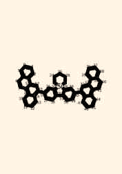 c1ccc2c(c1)ccc1c3ccccc3c(-c3ccc4c(c3)[Si]3(CCCCC3)c3cc(-c5cc6c7ccccc7ccc6c6ccccc56)ccc3-4)cc21